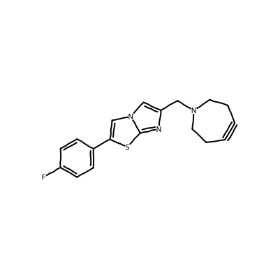 Fc1ccc(-c2cn3cc(CN4CCC#CCC4)nc3s2)cc1